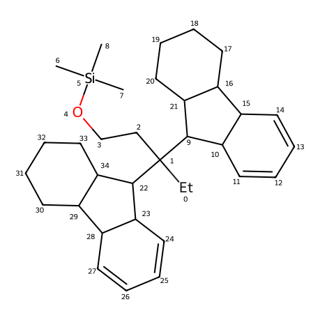 CCC(CCO[Si](C)(C)C)(C1C2C=CC=CC2C2CCCCC21)C1C2C=CC=CC2C2CCCCC21